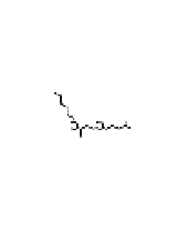 CCCCCCOC(C)CCOCCCC(C)C